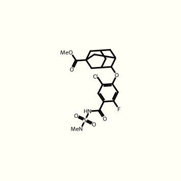 CNS(=O)(=O)NC(=O)c1cc(Cl)c(OC2C3CC4CC2CC(C(=O)OC)(C4)C3)cc1F